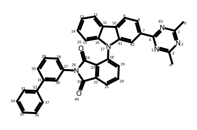 Cc1nc(C)nc(-c2ccc3c4ccccc4n(-c4cccc5c4C(=O)N(c4cccc(-c6ccccc6)c4)C5=O)c3c2)n1